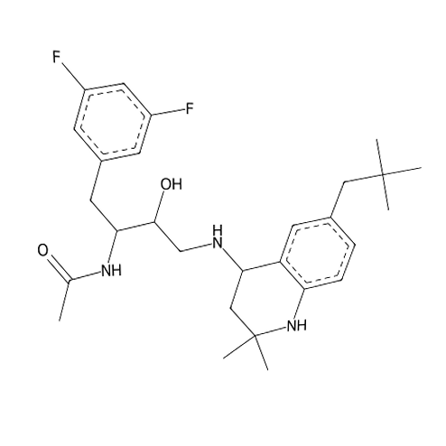 CC(=O)NC(Cc1cc(F)cc(F)c1)C(O)CNC1CC(C)(C)Nc2ccc(CC(C)(C)C)cc21